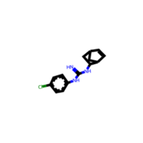 N=C(Nc1ccc(Cl)cc1)NC1CC2C=CC1C2